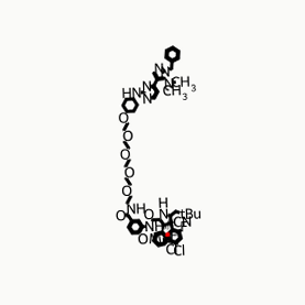 COc1ccc(C(=O)NCCOCCOCCOCCOCCO[C@H]2CC[C@H](Nc3nccc(-c4cnn(Cc5ccccc5)c4N(C)C)n3)CC2)cc1NC(=O)C1NC(CC(C)(C)C)[C@](C#N)(c2ccc(Cl)cc2F)[C@H]1c1cccc(Cl)c1F